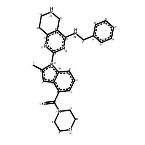 Cc1cc2c(C(=O)N3CCOCC3)cccc2n1-c1nc2c(c(NCc3ccccc3)n1)CNCC2